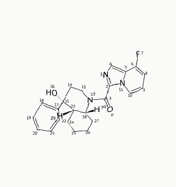 O=C(c1ncc2c(F)cccn12)N1CC[C@](O)(c2ccccc2)[C@H]2CCCC[C@H]21